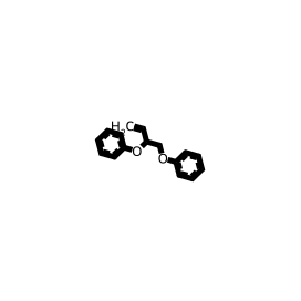 C=CC(COc1ccccc1)Oc1ccccc1